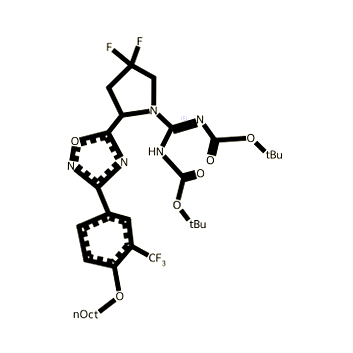 CCCCCCCCOc1ccc(-c2noc(C3CC(F)(F)CN3/C(=N/C(=O)OC(C)(C)C)NC(=O)OC(C)(C)C)n2)cc1C(F)(F)F